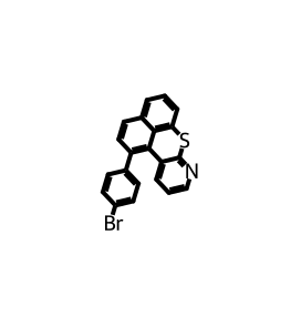 Brc1ccc(-c2ccc3cccc4c3c2-c2cccnc2S4)cc1